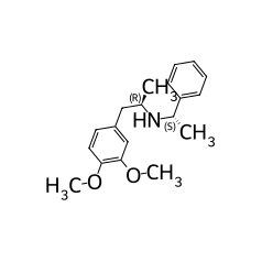 COc1ccc(C[C@@H](C)N[C@@H](C)c2ccccc2)cc1OC